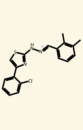 Cc1cccc(/C=N/Nc2nc(-c3ccccc3Cl)cs2)c1C